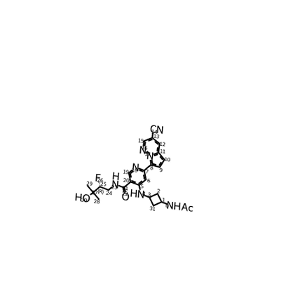 CC(=O)NC1CC(Nc2cc(-c3ccc4cc(C#N)cnn34)ncc2C(=O)NC[C@@H](F)C(C)(C)O)C1